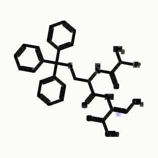 C/C=C(\NC(=O)C(CSC(c1ccccc1)(c1ccccc1)c1ccccc1)NC(=O)C(N)C(C)C)C(=O)OC